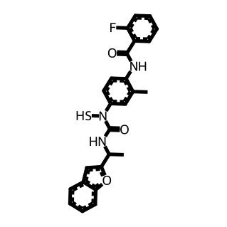 Cc1cc(N(S)C(=O)NC(C)c2cc3ccccc3o2)ccc1NC(=O)c1ccccc1F